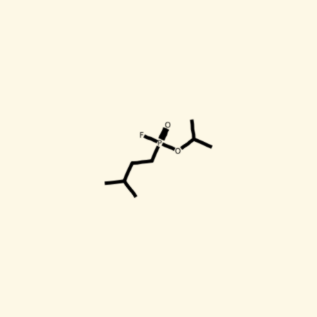 CC(C)CCP(=O)(F)OC(C)C